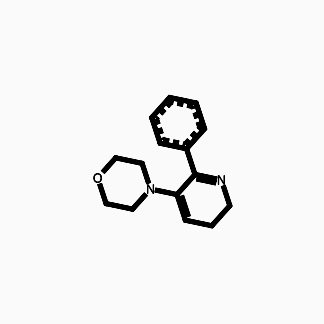 C1=C(N2CCOCC2)C(c2ccccc2)=NCC1